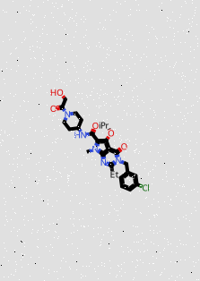 CCc1nc2c(c(OC(C)C)c(C(=O)NC3CCN(C(=O)CO)CC3)n2C)c(=O)n1Cc1cccc(Cl)c1